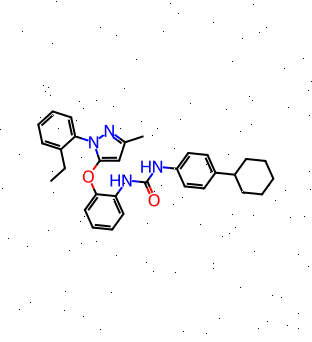 CCc1ccccc1-n1nc(C)cc1Oc1ccccc1NC(=O)Nc1ccc(C2CCCCC2)cc1